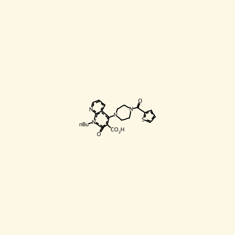 CCCCn1c(=O)c(C(=O)O)c(N2CCN(C(=O)c3cccs3)CC2)c2cccnc21